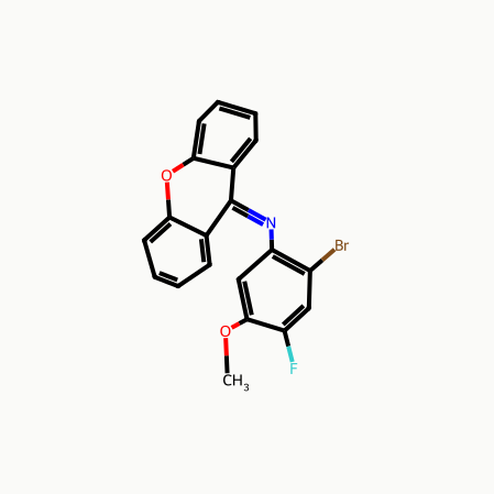 COc1cc(N=c2c3ccccc3oc3ccccc23)c(Br)cc1F